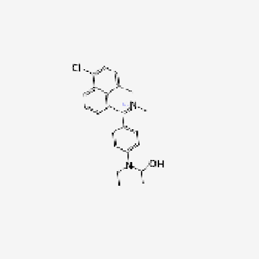 CCN(c1ccc(/C(=N\C)c2cccc3c(Cl)ccc(C)c23)cc1)C(C)O